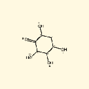 O=C1C(O)CC(O)C(O)C1O